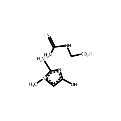 Cn1cc(O)nc1N.N=C(N)NCC(=O)O